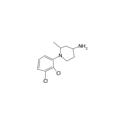 CC1CC(N)CCN1c1cccc(Cl)c1Cl